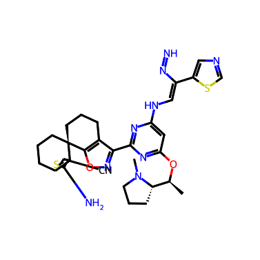 C[C@H](Oc1cc(N/C=C(\N=N)c2cncs2)nc(-c2noc3c2CCC[C@@]32CCCc3sc(N)c(C#N)c32)n1)[C@@H]1CCCN1C